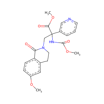 COC(=O)NC(CN1CCc2cc(OC)ccc2C1=O)(C(=O)OC)c1cccnc1